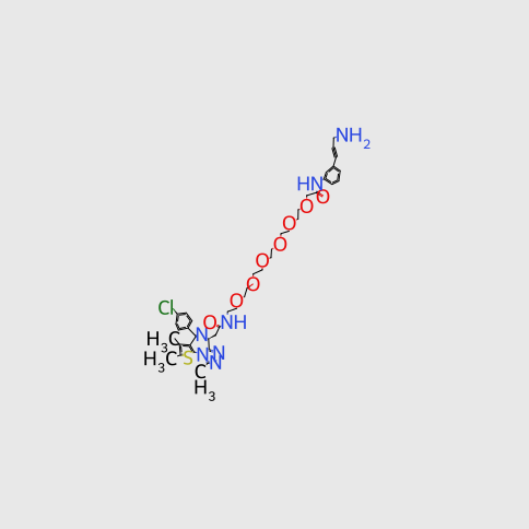 Cc1sc2c(c1C)C(c1ccc(Cl)cc1)=N[C@@H](CC(=O)NCCOCCOCCOCCOCCOCCOCC(=O)Nc1cccc(C#CCN)c1)c1nnc(C)n1-2